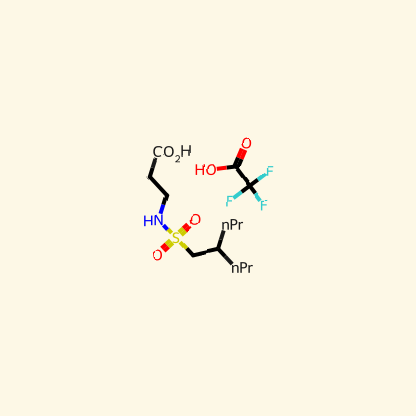 CCCC(CCC)CS(=O)(=O)NCCC(=O)O.O=C(O)C(F)(F)F